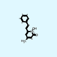 Cc1cc(/C=C/c2ccccc2)n(O)c(=O)c1